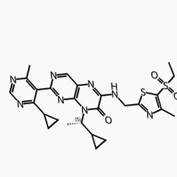 CCS(=O)(=O)c1sc(CNc2nc3cnc(-c4c(C)ncnc4C4CC4)nc3n([C@@H](C)C3CC3)c2=O)nc1C